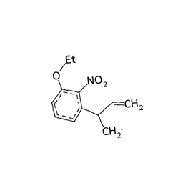 [CH2]C(C=C)c1cccc(OCC)c1[N+](=O)[O-]